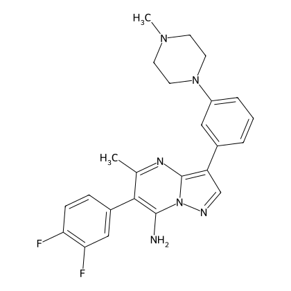 Cc1nc2c(-c3cccc(N4CCN(C)CC4)c3)cnn2c(N)c1-c1ccc(F)c(F)c1